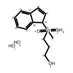 Cl.Cl.[CH3][Zr](=[O])(=[SiH2])([CH2]CCO)[CH]1C=Cc2ccccc21